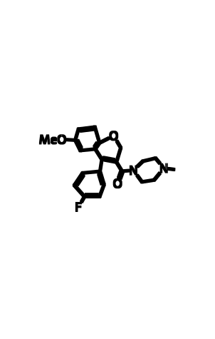 COc1ccc2c(c1)C(c1ccc(F)cc1)=C(C(=O)N1CCN(C)CC1)CO2